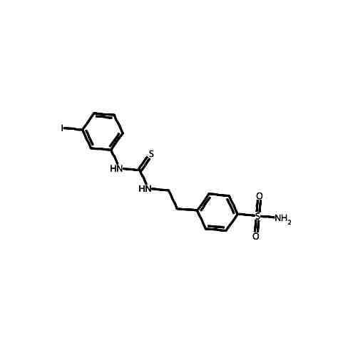 NS(=O)(=O)c1ccc(CCNC(=S)Nc2cccc(I)c2)cc1